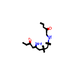 C=CCC(=O)CNC(C)(C)CC(C)(C)CC(=N)CC(=O)CC